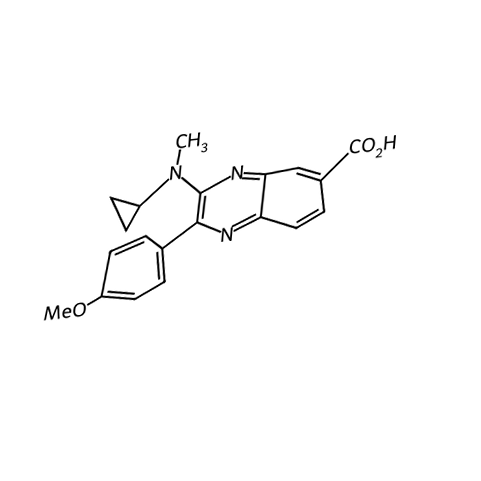 COc1ccc(-c2nc3ccc(C(=O)O)cc3nc2N(C)C2CC2)cc1